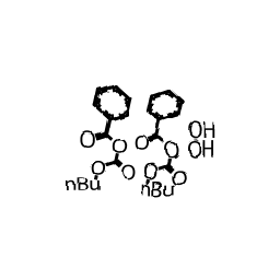 CCCCOC(=O)OC(=O)c1ccccc1.CCCCOC(=O)OC(=O)c1ccccc1.OO